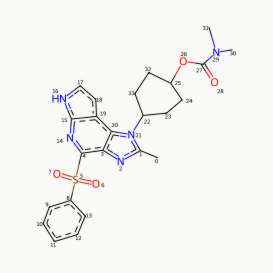 Cc1nc2c(S(=O)(=O)c3ccccc3)nc3[nH]ccc3c2n1C1CCC(OC(=O)N(C)C)CC1